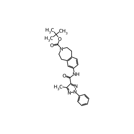 Cc1nn(-c2ccccc2)nc1C(=O)Nc1ccc2c(c1)CCN(C(=O)OC(C)(C)C)CC2